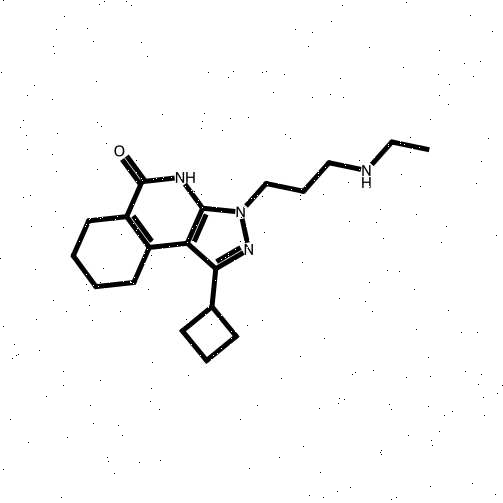 CCNCCCn1nc(C2CCC2)c2c3c(c(=O)[nH]c21)CCCC3